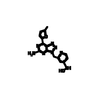 Cc1ccc(-c2nc(N)nc3c2nnn3Cc2cc(NO)ccn2)o1